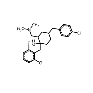 CN(C)CC1CC(Cc2ccc(Cl)cc2)CCC1(O)Cc1c(F)cccc1Cl